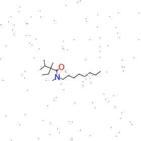 CCCCCCCCN(C)C(=O)C(C)(CC)C(C)C